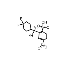 [2H]C([2H])(c1cc([N+](=O)[O-])ccc1S(=O)(=O)O)C1CCC(F)(F)CC1